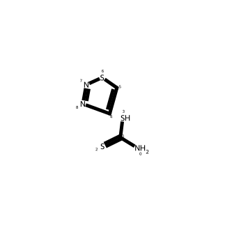 NC(=S)S.c1csnn1